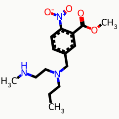 CCCN(CCNC)Cc1ccc([N+](=O)[O-])c(C(=O)OC)c1